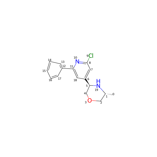 C[C@@H]1COC[C@@H](c2cc(Cl)nc(-c3ccccc3)c2)N1